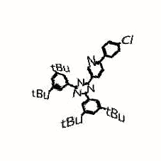 CC(C)(C)c1cc(-c2nc(-c3ccc(-c4ccc(Cl)cc4)nc3)nc(-c3cc(C(C)(C)C)cc(C(C)(C)C)c3)n2)cc(C(C)(C)C)c1